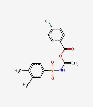 C=C(NS(=O)(=O)c1ccc(C)c(C)c1)OC(=O)c1ccc(Cl)cc1